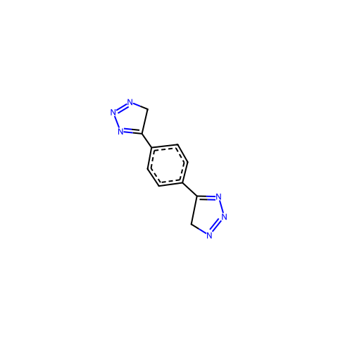 c1cc(C2=NN=NC2)ccc1C1=NN=NC1